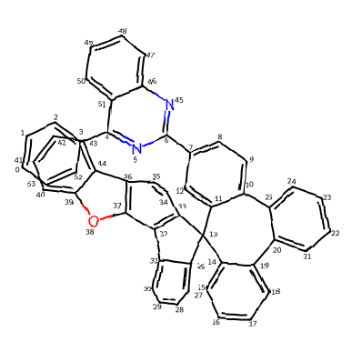 c1ccc(-c2nc(-c3ccc4c(c3)C3(c5ccccc5-c5ccccc5-4)c4ccccc4-c4c3ccc3c4oc4ccccc43)nc3ccccc23)cc1